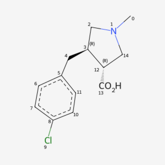 CN1C[C@H](Cc2ccc(Cl)cc2)[C@@H](C(=O)O)C1